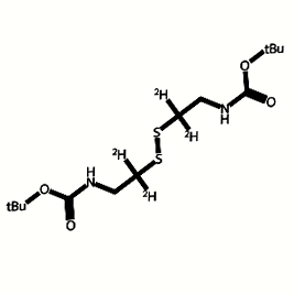 [2H]C([2H])(CNC(=O)OC(C)(C)C)SSC([2H])([2H])CNC(=O)OC(C)(C)C